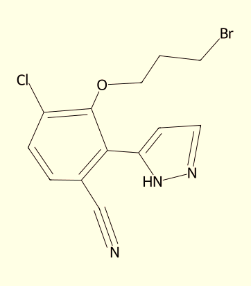 N#Cc1ccc(Cl)c(OCCCBr)c1-c1ccn[nH]1